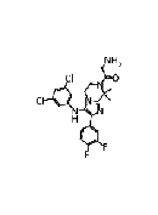 CC1(C)c2nc(-c3ccc(F)c(F)c3)c(Nc3cc(Cl)cc(Cl)c3)n2CCN1C(=O)CN